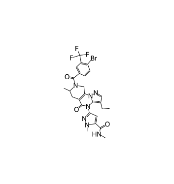 CCc1cnn2c3c(c(=O)n(-c4cc(C(=O)NC)n(C)n4)c12)CC(C)N(C(=O)c1ccc(Br)c(C(F)(F)F)c1)C3